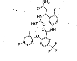 Cc1cc(F)ccc1Oc1ccc(C(F)(F)F)cc1C(=O)Nc1ccc(F)c(C(CC(N)=O)NC(=O)O)c1